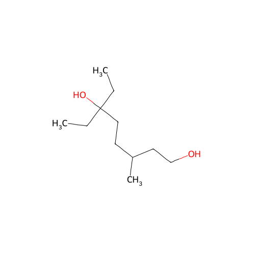 CCC(O)(CC)CCC(C)CCO